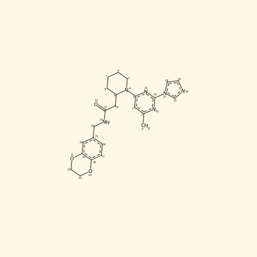 Cc1cc(N2CCCCC2CC(=O)NCc2ccc3c(c2)OCCO3)nc(-n2ccnc2)n1